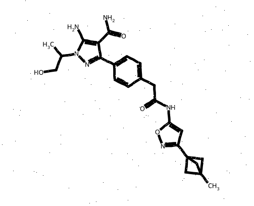 CC(CO)n1nc(-c2ccc(CC(=O)Nc3cc(C45CC(C)(C4)C5)no3)cc2)c(C(N)=O)c1N